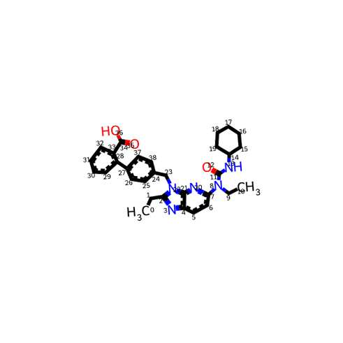 CCc1nc2ccc(N(CC)C(=O)NC3CCCCC3)nc2n1Cc1ccc(-c2ccccc2C(=O)O)cc1